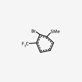 CSc1cccc(C(F)(F)F)c1Br